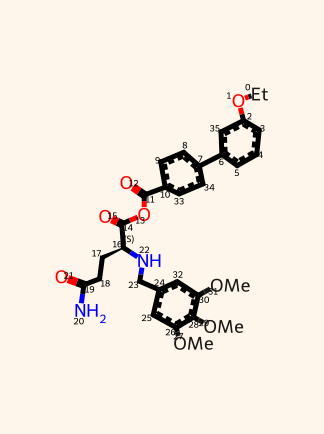 CCOc1cccc(-c2ccc(C(=O)OC(=O)[C@H](CCC(N)=O)NCc3cc(OC)c(OC)c(OC)c3)cc2)c1